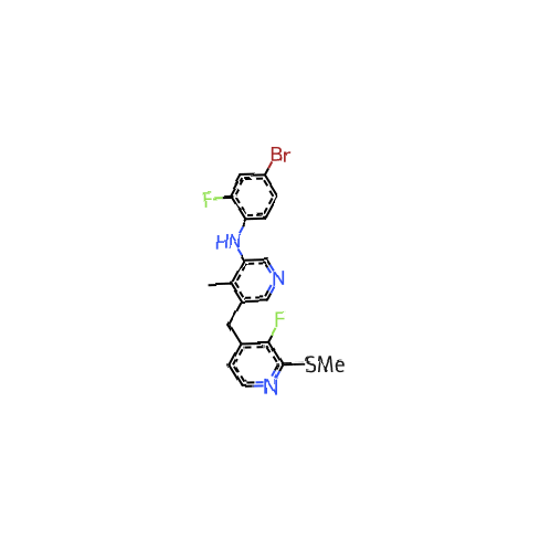 CSc1nccc(Cc2cncc(Nc3ccc(Br)cc3F)c2C)c1F